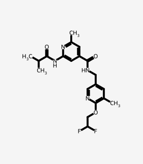 Cc1cc(C(=O)NCc2cnc(OCC(F)F)c(C)c2)cc(NC(=O)C(C)C)n1